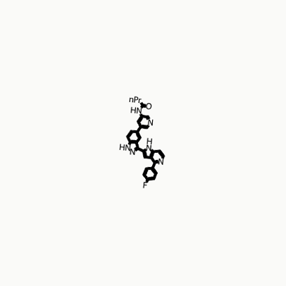 CCCC(=O)Nc1cncc(-c2ccc3[nH]nc(-c4cc5c(-c6ccc(F)cc6)nccc5[nH]4)c3c2)c1